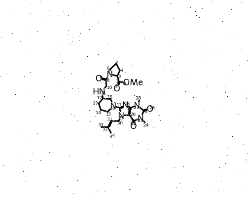 COC(=O)C1CCCN1C(=O)CNC1CCCN(c2nc3c(c(=O)n(C)c(=O)n3C)n2CC=C(C)C)C1